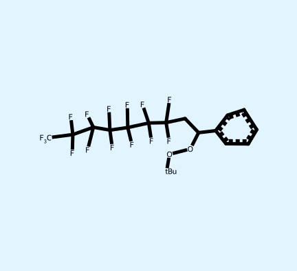 CC(C)(C)OOC(CC(F)(F)C(F)(F)C(F)(F)C(F)(F)C(F)(F)C(F)(F)C(F)(F)F)c1ccccc1